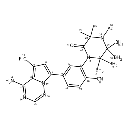 BC1(B)N(c2cc(-c3cc(C(F)(F)F)c4c(N)ncnn34)ccc2C#N)C(=O)C(C)(C)N(C(C)=O)C1(B)B